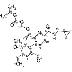 C=Cc1cc(C=O)c(-c2ccc(C(=O)NCC3CC3)nc2C(=O)OCOC(=O)OC(C)C)cc1OC